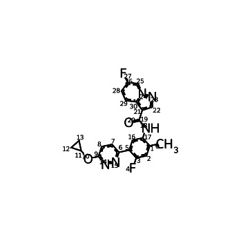 Cc1cc(F)c(-c2ccc(OC3CC3)nn2)cc1NC(=O)c1cnn2cc(F)ccc12